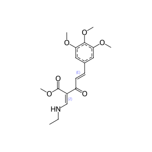 CCN/C=C(/C(=O)/C=C/c1cc(OC)c(OC)c(OC)c1)C(=O)OC